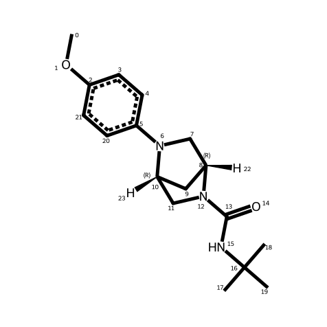 COc1ccc(N2C[C@H]3C[C@@H]2CN3C(=O)NC(C)(C)C)cc1